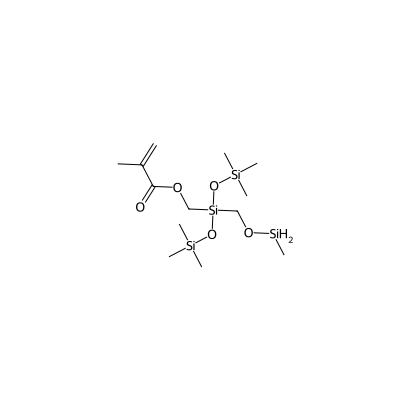 C=C(C)C(=O)OC[Si](CO[SiH2]C)(O[Si](C)(C)C)O[Si](C)(C)C